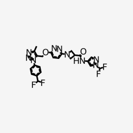 Cc1nnn(-c2ccc(C(F)F)cc2)c1COc1ccc(N2CC(C(=O)Nc3cnn(C(F)F)c3)C2)nn1